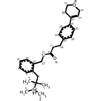 C[SiH](C)C(C)(C)Cc1ccccc1COC(=O)CCc1ccc(C2=CCOCC2)cc1